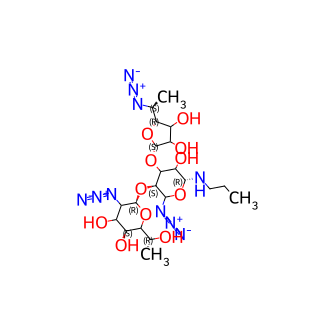 CCCN[C@@H]1OC(N=[N+]=[N-])[C@@H](O[C@H]2OC([C@@H](C)O)[C@@H](O)C(O)C2N=[N+]=[N-])C(O[C@@H]2O[C@H]([C@H](C)N=[N+]=[N-])C(O)C2O)C1O